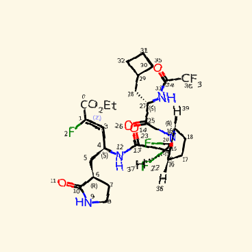 CCOC(=O)/C(F)=C/[C@H](C[C@H]1CCNC1=O)NC(=O)[C@@H]1[C@H]2CC[C@H](CC2(F)F)N1C(=O)[C@H](CC1CCC1)NC(=O)C(F)(F)F